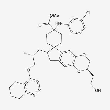 COC(=O)C1(Nc2cccc(Cl)c2)CCC2(CC1)c1cc3c(cc1CC2C[C@@H](C)COc1ccnc2c1CCCC2)O[C@H](CCO)CO3